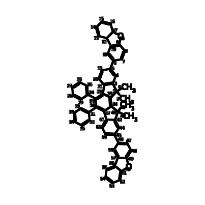 CC1(C)c2cc(-c3ccc4c(c3)C3C=CC=CC3O4)ccc2-c2c(-c3ccccc3)c(-c3ccccc3)c3c(c21)C(C)(C)c1cc(-c2ccc4oc5ccccc5c4c2)ccc1-3